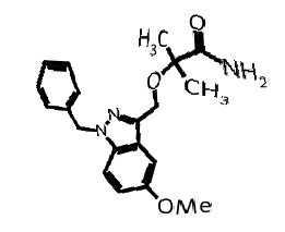 COc1ccc2c(c1)c(COC(C)(C)C(N)=O)nn2Cc1ccccc1